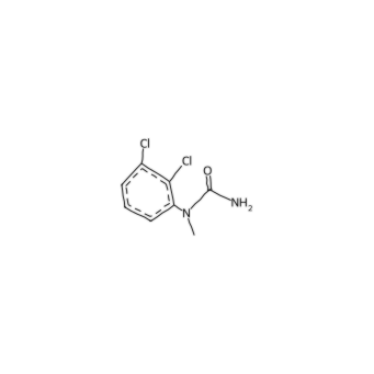 CN(C(N)=O)c1cccc(Cl)c1Cl